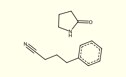 N#CCCCc1ccccc1.O=C1CCCN1